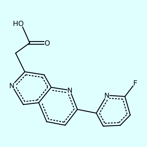 O=C(O)Cc1cc2nc(-c3cccc(F)n3)ccc2cn1